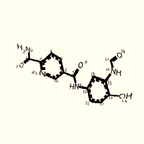 NC(=O)c1ccc(C(=O)Nc2ccc(O)c(NC=O)c2)cn1